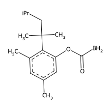 BC(=O)Oc1cc(C)cc(C)c1C(C)(C)CC(C)C